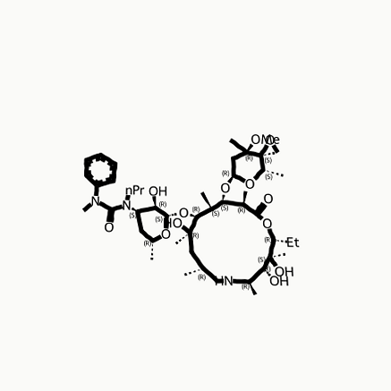 CCCN(C(=O)N(C)c1ccccc1)[C@H]1C[C@@H](C)O[C@@H](O[C@@H]2[C@@H](C)[C@H](O[C@H]3C[C@@](C)(OC)[C@]4(CO4)[C@H](C)O3)[C@@H](C)C(=O)O[C@H](CC)[C@@](C)(O)[C@H](O)[C@@H](C)NC[C@H](C)C[C@@]2(C)O)[C@@H]1O